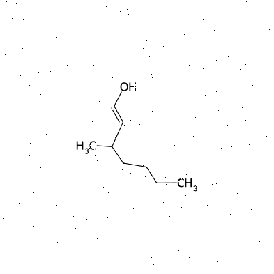 CCCCC(C)C=CO